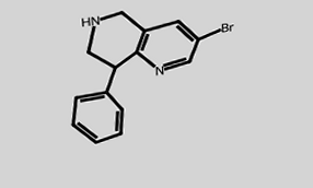 Brc1cnc2c(c1)CNCC2c1ccccc1